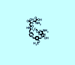 CCOc1nc(N)c2nc(O)n(Cc3ccc(CN4CCN(CCNC(=O)CC(SC[C@@H](N)C(=O)O)C(=O)O)CC4)cc3OC)c2n1